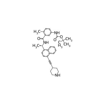 Cc1ccc(NC(=O)OC(C)(C)C)cc1C(=O)N[C@H](C)c1ccc(C#CC2CCNCC2)c2ccccc12